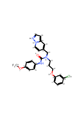 O=C(Nc1ccc(OC(F)(F)F)cc1)N(CCCOc1cccc(Cl)c1)Cc1ccn2nccc2c1